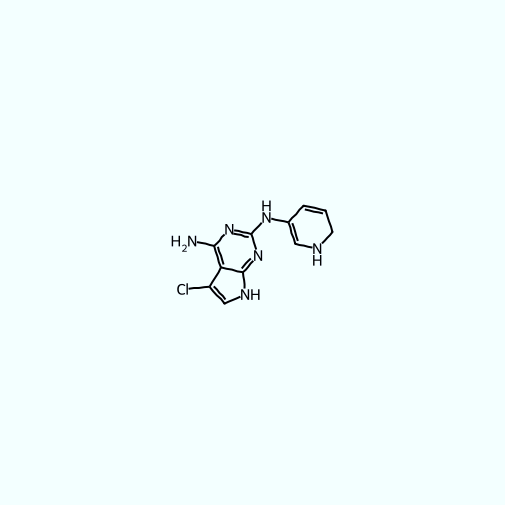 Nc1nc(NC2=CNCC=C2)nc2[nH]cc(Cl)c12